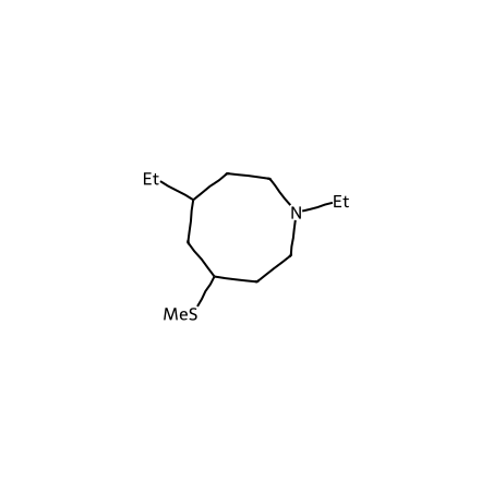 CCC1CCN(CC)CCC(SC)C1